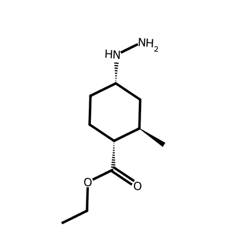 CCOC(=O)[C@@H]1CC[C@H](NN)C[C@H]1C